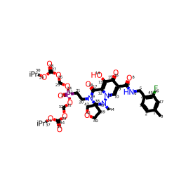 Cc1ccc(CNC(=O)c2cn3c(c(O)c2=O)C(=O)N(CCP(=O)(OCOC(=O)OC(C)C)OCOC(=O)OC(C)C)C2(CCOC2)N3C)c(F)c1